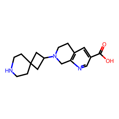 O=C(O)c1cnc2c(c1)CCN(C1CC3(CCNCC3)C1)C2